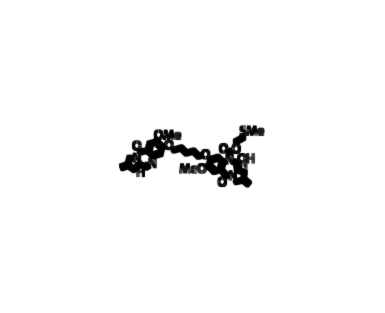 C=C1C[C@H]2C=Nc3cc(OCCCCCOc4cc5c(cc4OC)C(=O)N4CC(=C)C[C@H]4[C@H](O)N5C(=O)OCCSC)c(OC)cc3C(=O)N2C1